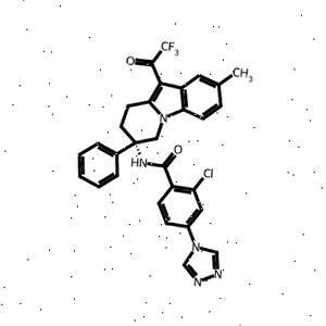 Cc1ccc2c(c1)c(C(=O)C(F)(F)F)c1n2C[C@@](NC(=O)c2ccc(-n3cnnc3)cc2Cl)(c2ccccc2)CC1